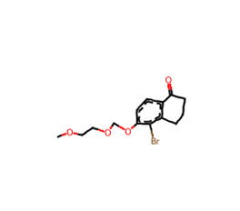 COCCOCOc1ccc2c(c1Br)CCCC2=O